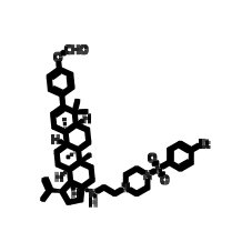 C=C(C)[C@@H]1CC[C@]2(NCCN3CCN(S(=O)(=O)c4ccc(CC)cc4)CC3)CC[C@]3(C)[C@H](CC[C@@H]4[C@@]5(C)CC=C(c6ccc(OC=O)cc6)C(C)(C)[C@@H]5CC[C@]43C)[C@@H]12